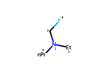 CCCN(CC)CF